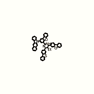 CCC1C(c2ccc3c(c2)sc2ccccc23)N=C(c2cc(-n3c4ccccc4c4cc5ccccc5cc43)cc3c2oc2ccccc23)NC1c1ccc2c(c1)oc1ccccc12